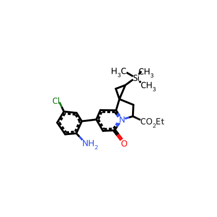 CCOC(=O)C1CC2(CC2[Si](C)(C)C)c2cc(-c3cc(Cl)ccc3N)cc(=O)n21